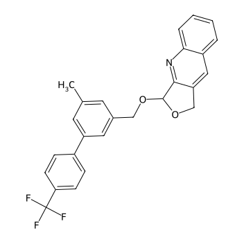 Cc1cc(COC2OCc3cc4ccccc4nc32)cc(-c2ccc(C(F)(F)F)cc2)c1